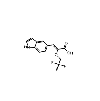 O=C(O)C(=Cc1ccc2[nH]ccc2c1)OCC(F)(F)F